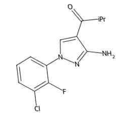 CC(C)C(=O)c1cn(-c2cccc(Cl)c2F)nc1N